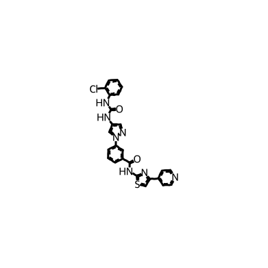 O=C(Nc1cnn(-c2cccc(C(=O)Nc3nc(-c4ccncc4)cs3)c2)c1)Nc1ccccc1Cl